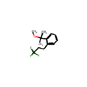 COC(C)(C)c1ccccc1CCC(F)(F)F